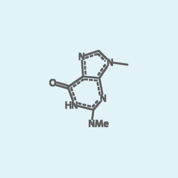 CNc1nc2c(ncn2C)c(=O)[nH]1